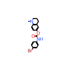 CN1CCCc2cc(OC(=O)Nc3ccc(Br)cc3)ccc21